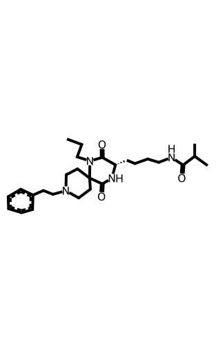 CCCN1C(=O)[C@H](CCCCNC(=O)C(C)C)NC(=O)C12CCN(CCc1ccccc1)CC2